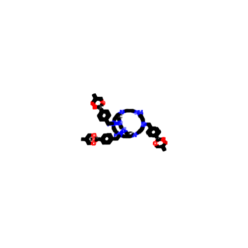 CC12CO[B-](c3ccc(CN4CCNCCN5CCNCCNCCN(CC4)CCN(Cc4ccc([B-]67OCC(C)(CO6)CO7)cc4)CCN(Cc4ccc([B-]67OCC(C)(CO6)CO7)cc4)CC5)cc3)(OC1)OC2